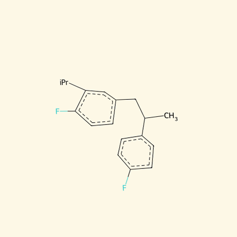 CC(C)c1cc(CC(C)c2ccc(F)cc2)ccc1F